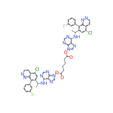 CC(Nc1ncnc2c1ncn2OC(=O)CCCCC(=O)On1cnc2c(NC(C)c3cc(Cl)c4ccnnc4c3-c3cccc(F)c3)ncnc21)c1cc(Cl)c2ccnnc2c1-c1cccc(F)c1